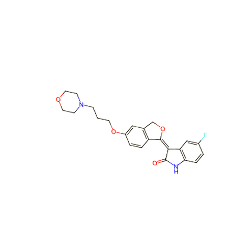 O=C1Nc2ccc(F)cc2C1=C1OCc2cc(OCCCN3CCOCC3)ccc21